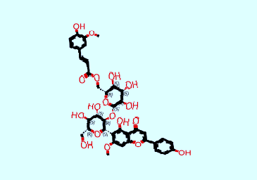 COc1cc(C=CC(=O)OC[C@H]2O[C@@H](O[C@@H]3[C@@H](O)[C@H](O)[C@@H](CO)O[C@H]3c3c(OC)cc4oc(-c5ccc(O)cc5)cc(=O)c4c3O)[C@H](O)[C@@H](O)[C@@H]2O)ccc1O